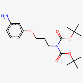 CC(C)(C)OC(=O)N(CCCOc1cccc(N)c1)C(=O)OC(C)(C)C